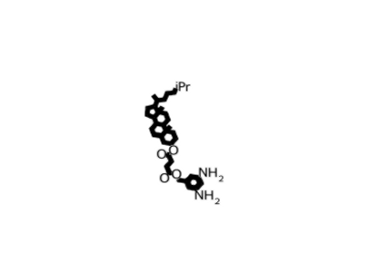 CC(C)CCCC(C)C1CCC2C3CC=C4CC(OC(=O)CCC(=O)OCc5cc(N)cc(N)c5)CCC4(C)C3CCC12C